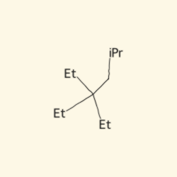 [CH2]C(C)CC(CC)(CC)CC